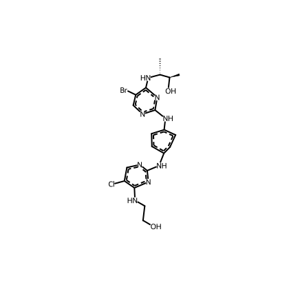 C[C@@H](O)[C@@H](C)Nc1nc(Nc2ccc(Nc3ncc(Cl)c(NCCO)n3)cc2)ncc1Br